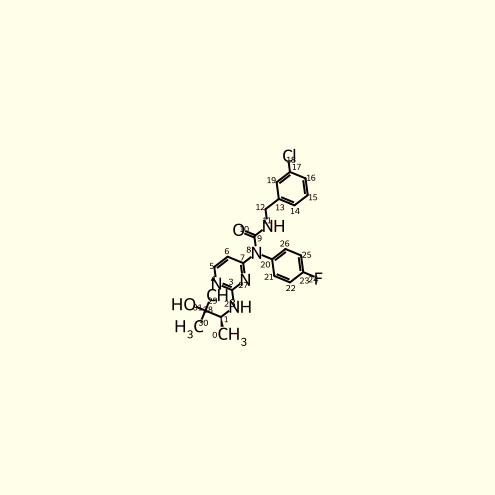 C[C@H](Nc1nccc(N(C(=O)NCc2cccc(Cl)c2)c2ccc(F)cc2)n1)C(C)(C)O